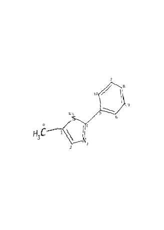 Cc1cnc(-c2c[c]ccc2)s1